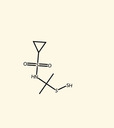 CC(C)(NS(=O)(=O)C1CC1)SS